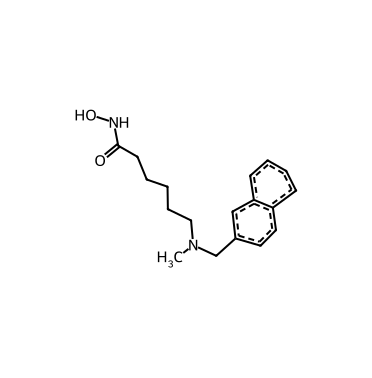 CN(CCCCCC(=O)NO)Cc1ccc2ccccc2c1